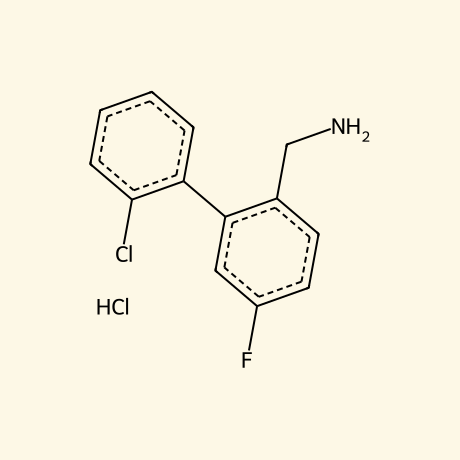 Cl.NCc1ccc(F)cc1-c1ccccc1Cl